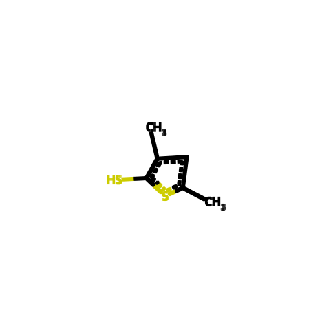 Cc1cc(C)c(S)s1